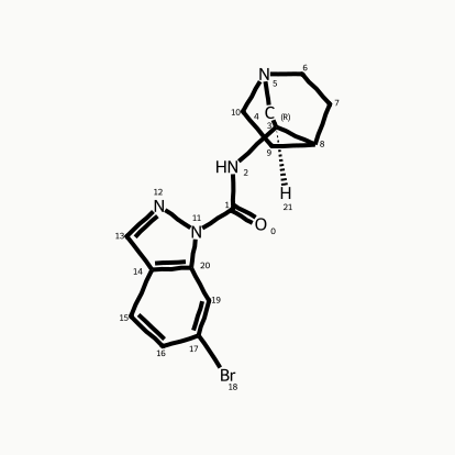 O=C(N[C@H]1CN2CCC1CC2)n1ncc2ccc(Br)cc21